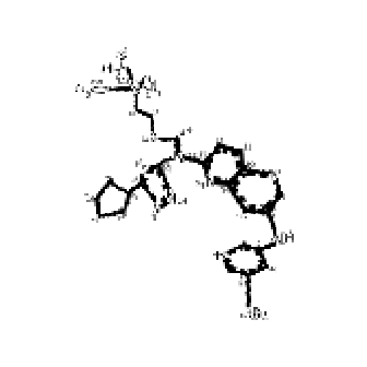 CC(C)(C)c1cncc(Nc2cnc3ccc(N(COCC[Si](C)(C)C)c4nnc(C5CCCC5)s4)nc3c2)c1